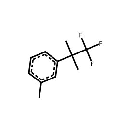 Cc1cccc(C(C)(C)C(F)(F)F)c1